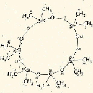 C[Si]1(C)CO[Si](C)(C)CO[Si](C)(C)O[Si](C)(C)O[Si](C)(C)O[Si](C)(C)CO1